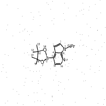 CC(C)n1ccc2c(B3OC(C)(C)C(C)(C)O3)ccnc21